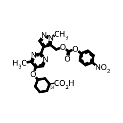 Cc1nc(-c2cnn(C)c2COC(=O)Oc2ccc([N+](=O)[O-])cc2)ncc1OC1CCC[C@H](C(=O)O)C1